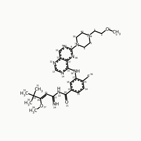 COCCN1CCN(c2ncc3ncnc(Nc4cc(C(=O)NC(=N)/C=C(\OC)C(C)(C)C)ccc4F)c3n2)CC1